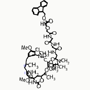 COc1cc2cc(c1Cl)N(C)C(=O)CC(OC(=O)C(C)N(C)C(=O)CNC(=O)CNC(=O)CNC(=O)CONC(=O)OCC1c3ccccc3-c3ccccc31)C(C)(C)O[C@@H](C)C1CC(ON)(NC(=O)O1)C(OC)/C=C/C=C(\C)C2